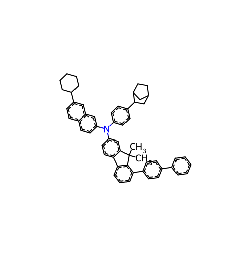 CC1(C)c2cc(N(c3ccc(C4CC5CCC4C5)cc3)c3ccc4ccc(C5CCCCC5)cc4c3)ccc2-c2cccc(-c3ccc(-c4ccccc4)cc3)c21